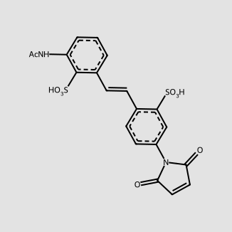 CC(=O)Nc1cccc(/C=C/c2ccc(N3C(=O)C=CC3=O)cc2S(=O)(=O)O)c1S(=O)(=O)O